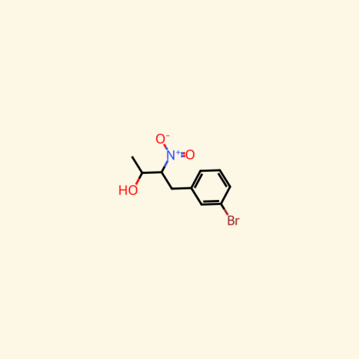 CC(O)C(Cc1cccc(Br)c1)[N+](=O)[O-]